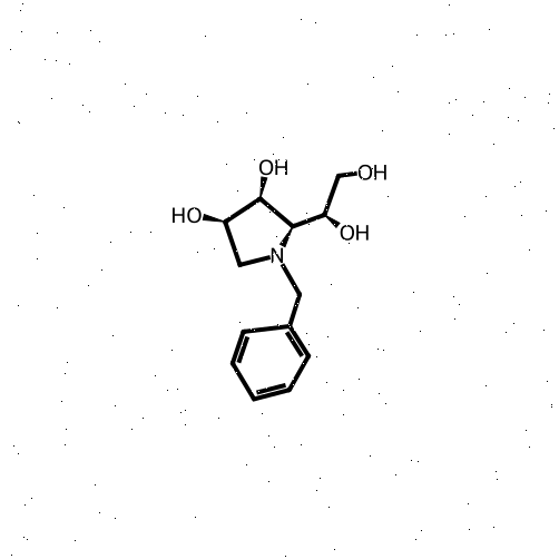 OC[C@@H](O)[C@@H]1[C@H](O)[C@H](O)CN1Cc1ccccc1